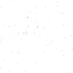 C[C@@]12CC[C@H](C(=O)O)[C@H]1[C@@H]1CCc3cc(OCc4ccccc4)ccc3[C@H]1CC2